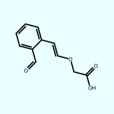 O=[C]c1ccccc1C=COCC(=O)O